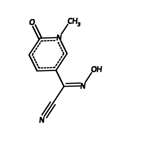 Cn1cc(/C(C#N)=N\O)ccc1=O